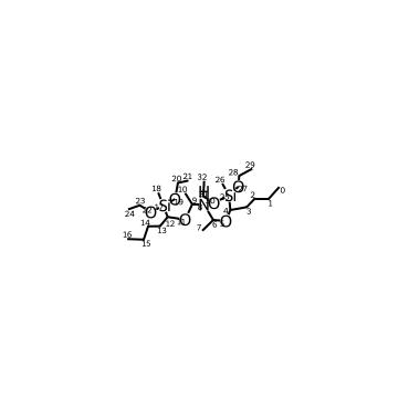 CCCCC(OC(C)NC(C)OC(CCCC)[Si](C)(OCC)OCC)[Si](C)(OCC)OCC